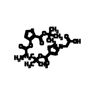 CC(C)(C)OC(=O)c1[c]ccs1.CC(C)(C)OC(=O)c1sccc1OC(=O)CN.NCC(=O)O